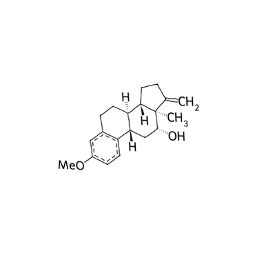 C=C1CC[C@H]2[C@@H]3CCc4cc(OC)ccc4[C@H]3C[C@@H](O)[C@]12C